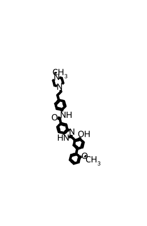 COc1ccccc1-c1ccc(O)c(-c2nc3cc(C(=O)Nc4ccc(CCN5CCN(C)CC5)cc4)ccc3[nH]2)c1